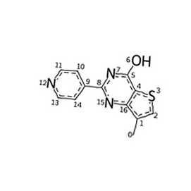 Cc1csc2c(O)nc(-c3ccncc3)nc12